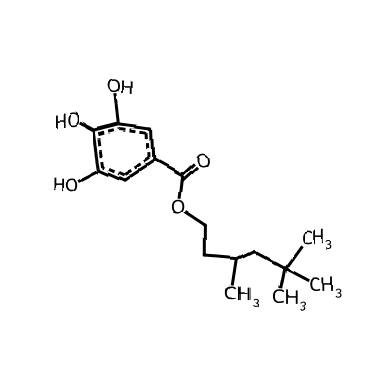 CC(CCOC(=O)c1cc(O)c(O)c(O)c1)CC(C)(C)C